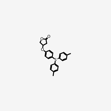 Cc1ccc([S+](c2ccc(C)cc2)c2ccc(OC3COC(=O)C3)cc2)cc1